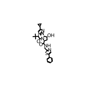 CC(C)(C)C(C(=O)N1CC(O)CC1C(=O)NCc1ncc(-c2ccccc2)s1)n1cc(C2CC2)nn1